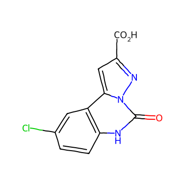 O=C(O)c1cc2c3cc(Cl)ccc3[nH]c(=O)n2n1